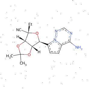 CC[C@@]1(C#N)O[C@@H](c2ccc3c(N)ncnn23)[C@@H]2OC(C)(C)O[C@@H]21